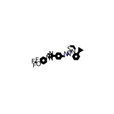 FC(F)(F)Oc1ccc(-n2cnc(-c3ccc(/C=N/N=C4\SCCCN4c4ccccc4C4CC4)cc3)n2)cc1